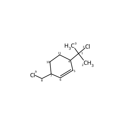 CC(C)(Cl)C1C=CC(CCl)CC1